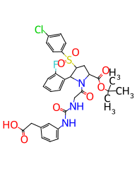 CC(C)(C)OC(=O)C1CC(S(=O)(=O)c2ccc(Cl)cc2)C(c2ccccc2F)N1C(=O)CNC(=O)Nc1cccc(CC(=O)O)c1